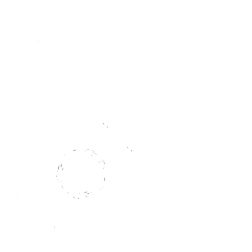 Cc1ccc(N(c2ccc(C)cc2)C2(N(c3ccc(C)cc3)c3ccc(C)cc3)C=CC(c3ccccc3)C=C2)cc1